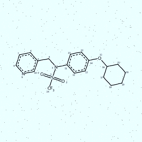 O=S(=O)(N(Cc1cccnc1)c1ccc(OC2CCCCC2)cc1)C(F)(F)F